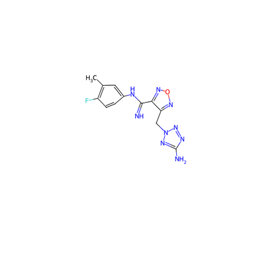 Cc1cc(NC(=N)c2nonc2Cn2nnc(N)n2)ccc1F